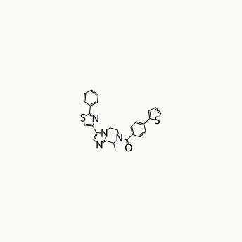 CC1c2ncc(-c3csc(-c4ccccc4)n3)n2CCN1C(=O)c1ccc(-c2cccs2)cc1